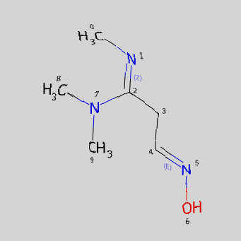 C/N=C(/C/C=N/O)N(C)C